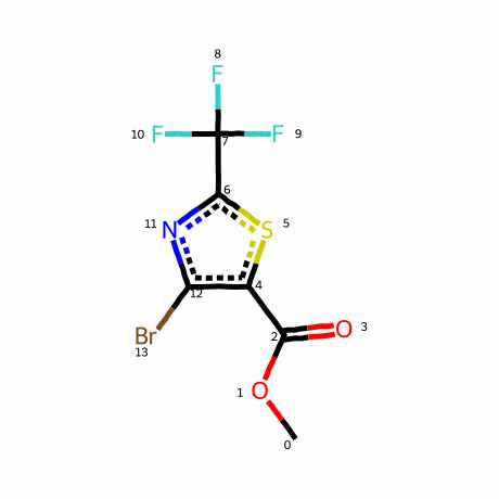 COC(=O)c1sc(C(F)(F)F)nc1Br